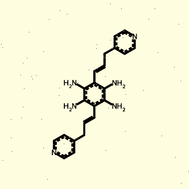 Nc1c(N)c(C=CCc2ccncc2)c(N)c(N)c1C=CCc1ccncc1